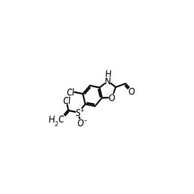 C=C(Cl)[S+]([O-])c1cc2c(cc1Cl)NC(C=O)O2